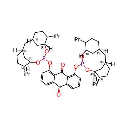 CC(C)C1CC[C@H]2C[C@@H]3CC[C@@H](C(C)C)[C@@H](C3)OP(Oc3cccc4c3C(=O)c3c(OP5O[C@@H]6C[C@@H](CCC6C(C)C)C[C@@H]6CC[C@@H](C(C)C)[C@@H](C6)O5)cccc3C4=O)O[C@@H]1C2